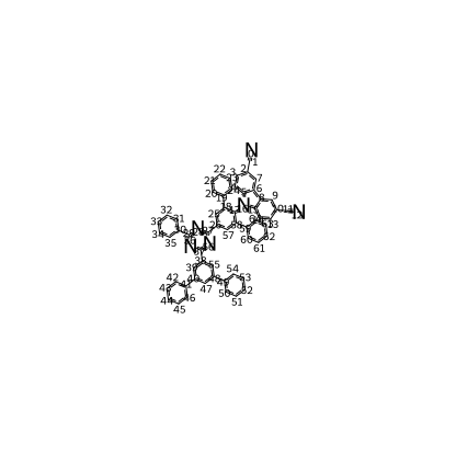 N#Cc1ccc2c(c1)c1cc(C#N)ccc1n2-c1c(-c2ccccc2)cc(-c2nc(-c3ccccc3)nc(-c3cc(-c4ccccc4)cc(-c4ccccc4)c3)n2)cc1-c1ccccc1